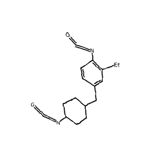 CCc1cc(CC2CCC(N=C=O)CC2)ccc1N=C=O